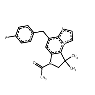 CC(=O)N1CC(C)(C)c2c1cc(Cc1ccc(F)cc1)c1nccn21